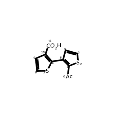 CC(=O)c1sccc1-c1sccc1C(=O)O